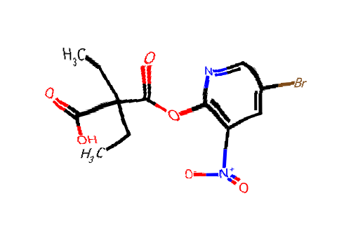 CCC(CC)(C(=O)O)C(=O)Oc1ncc(Br)cc1[N+](=O)[O-]